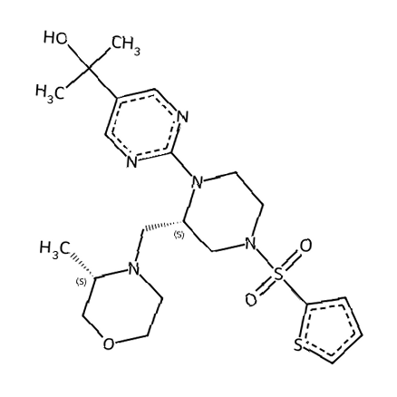 C[C@H]1COCCN1C[C@H]1CN(S(=O)(=O)c2cccs2)CCN1c1ncc(C(C)(C)O)cn1